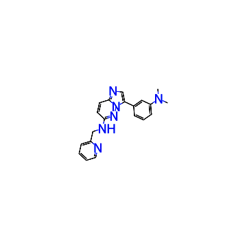 CN(C)c1cccc(-c2cnc3ccc(NCc4ccccn4)nn23)c1